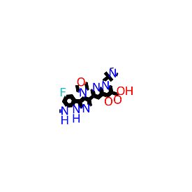 CNc1cc(F)cc2c1[nH]c1ncc(-c3cnc4c(c3)c(=O)c(C(=O)O)cn4CC(C)(C)N(C)C)c(N3CCOCC3)c12